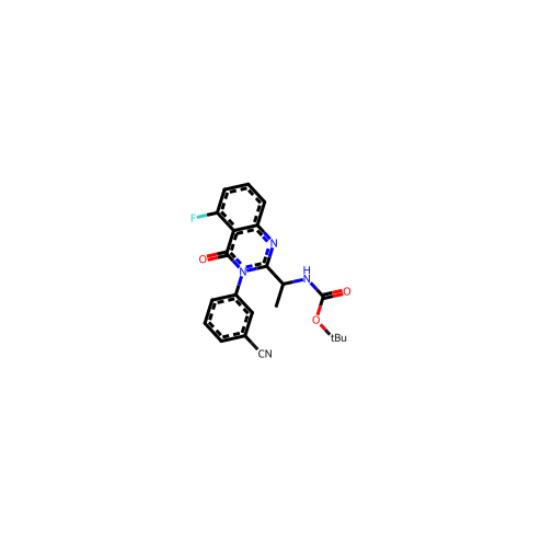 CC(NC(=O)OC(C)(C)C)c1nc2cccc(F)c2c(=O)n1-c1cccc(C#N)c1